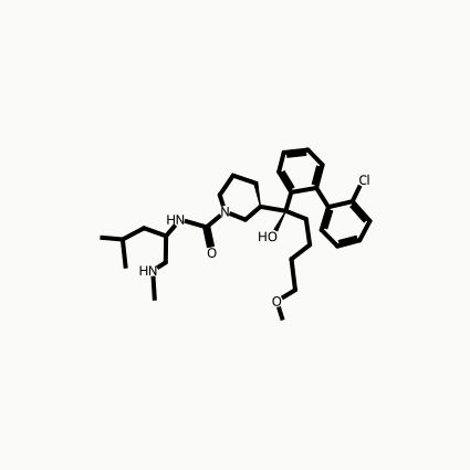 CNCC(CC(C)C)NC(=O)N1CCC[C@@H]([C@@](O)(CCCCOC)c2ccccc2-c2ccccc2Cl)C1